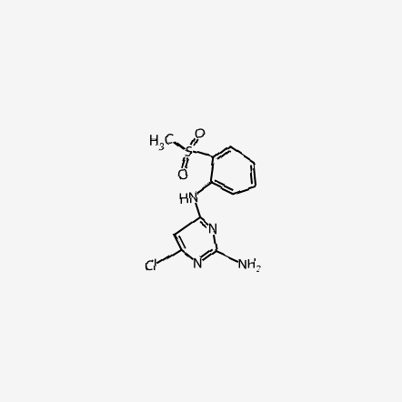 CS(=O)(=O)c1ccccc1Nc1cc(Cl)nc(N)n1